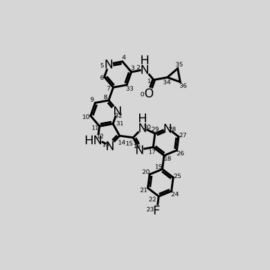 O=C(Nc1cncc(-c2ccc3[nH]nc(-c4nc5c(-c6ccc(F)cc6)ccnc5[nH]4)c3n2)c1)C1CC1